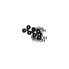 Oc1cc(N(c2ccccc2)c2cccc(N(c3ccccc3)c3ccccc3)c2)cc(-n2c3c(O)c(O)c(O)c(O)c3ooc3c(O)c(O)c(O)c(O)c32)c1